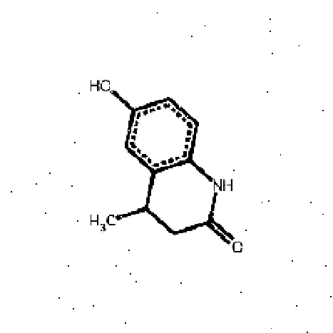 CC1CC(=O)Nc2ccc(O)cc21